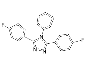 Fc1ccc(-c2nnc(-c3ccc(F)cc3)n2-c2ccccc2)cc1